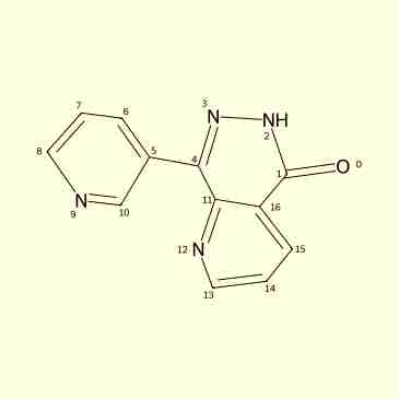 O=c1[nH]nc(-c2cccnc2)c2ncccc12